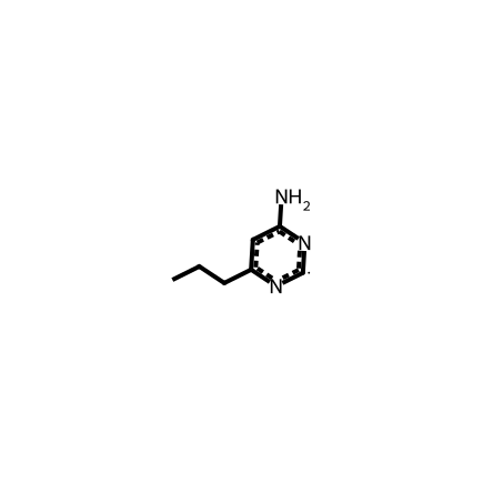 CCCc1cc(N)n[c]n1